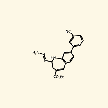 CCOC(=O)C1=Cc2ccc(-c3cccc(C#N)c3)cc2NC(N=NN)C1